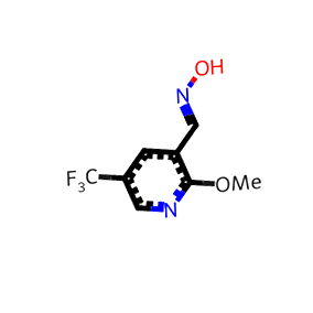 COc1ncc(C(F)(F)F)cc1/C=N/O